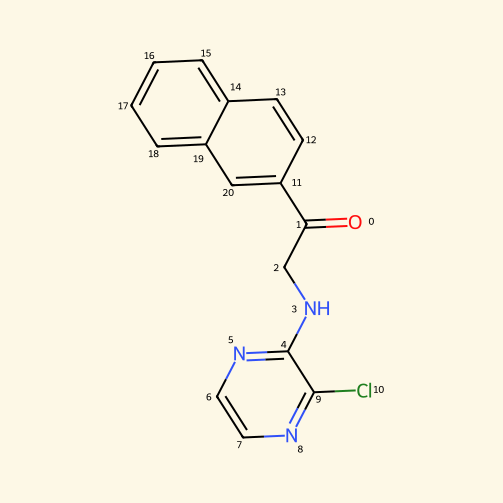 O=C(CNc1nccnc1Cl)c1ccc2ccccc2c1